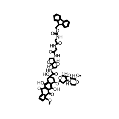 COc1cccc2c1C(=O)c1c(O)c3c(c(O)c1C2=O)C[C@@](O)(C(=O)N[C@H]1CO[C@H]2[C@@H]1OC[C@@H]2NC(=O)CNC(=O)CNC(=O)OCC1c2ccccc2-c2ccccc21)C[C@H]3O[C@@H]1C[C@@H]2[C@@H](O[C@H]3[C@H](OC)OCCN23)[C@@H](C)O1